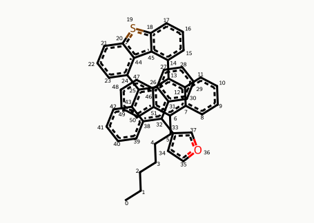 CCCCCCc1c2ccccc2c(-c2cccc3sc4cccc(-c5c6ccccc6c(-c6ccoc6)c6ccccc56)c4c23)c2ccccc12